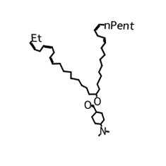 CC/C=C\C/C=C\C/C=C\CCCCCCCCC(CCCCCCCC/C=C\C/C=C\CCCCC)OC(=O)C1CCC(N(C)C)CC1